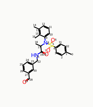 Cc1ccc(S(=O)(=O)N(c2cccc(C)c2C)C(C)C(=O)NCc2cccc(C=O)c2)cc1